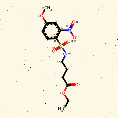 CCOC(=O)CCCNS(=O)(=O)c1ccc(OC)cc1[N+](=O)[O-]